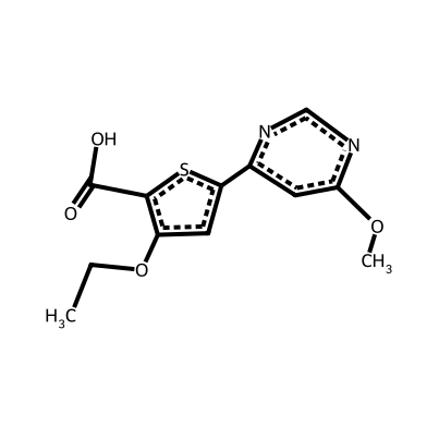 CCOc1cc(-c2cc(OC)ncn2)sc1C(=O)O